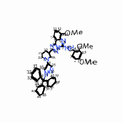 COc1ccc(CNc2nc3c(OC)cccc3c3nc(C4CCCN(c5cnn(C(c6ccccc6)(c6ccccc6)c6ccccc6)c5)C4)nn23)c(OC)c1